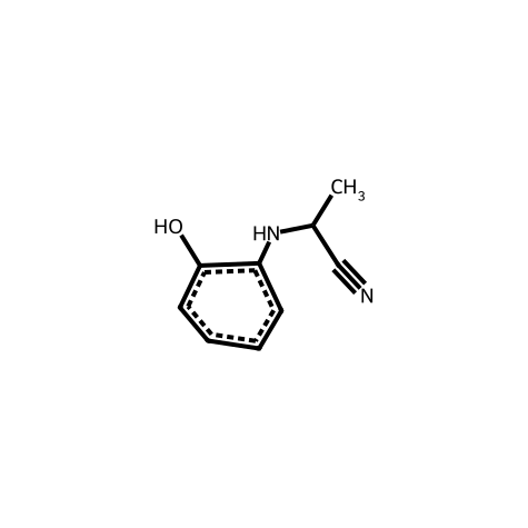 CC(C#N)Nc1ccccc1O